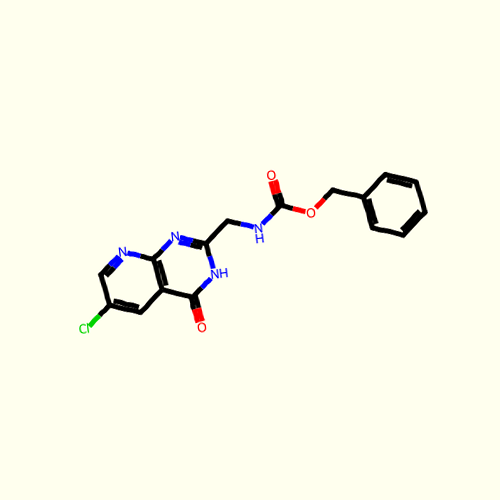 O=C(NCc1nc2ncc(Cl)cc2c(=O)[nH]1)OCc1ccccc1